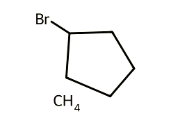 BrC1CCCC1.C